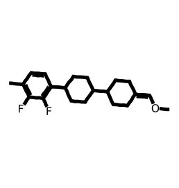 COC=C1CCC(C2CCC(c3ccc(C)c(F)c3F)CC2)CC1